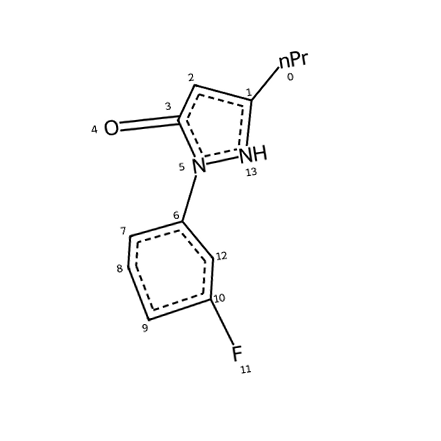 CCCc1cc(=O)n(-c2cccc(F)c2)[nH]1